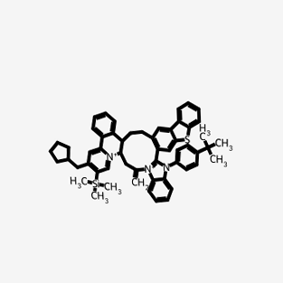 C=C1CC2C(CCc3cc4c(cc3-c3n(-c5ccc(C(C)(C)C)cc5)c5ccccc5[n+]31)sc1ccccc14)c1ccccc1-c1cc(CC3CCCC3)c([Si](C)(C)C)c[n+]12